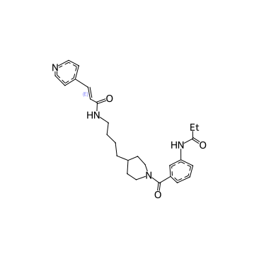 CCC(=O)Nc1cccc(C(=O)N2CCC(CCCCNC(=O)/C=C/c3ccncc3)CC2)c1